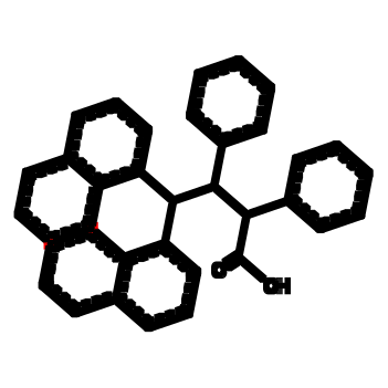 O=C(O)C(c1ccccc1)C(c1ccccc1)C(c1cccc2ccccc12)c1cccc2ccccc12